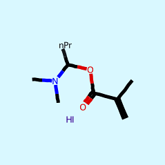 C=C(C)C(=O)OC(CCC)N(C)C.I